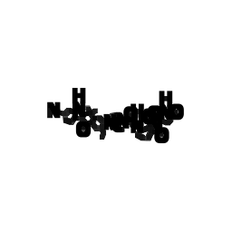 CCc1cc2c(cc1N1CCN(C(=O)CNc3cccc4c3C(=O)N(C3CCC(=O)NC3=O)C4=O)CC1)C(C)(C)c1[nH]c3cc(C#N)ccc3c1C2=O